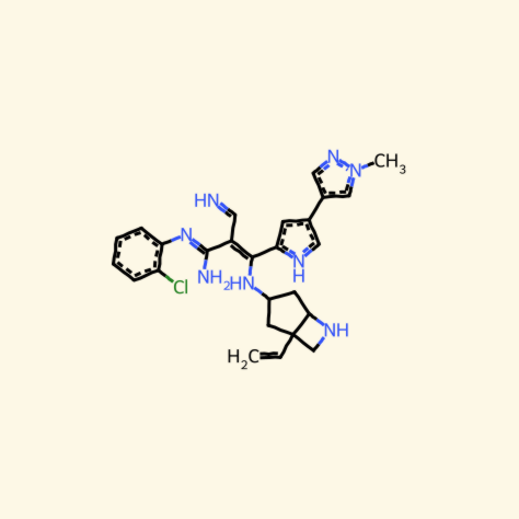 C=CC12CNC1CC(N/C(=C(C=N)\C(N)=N\c1ccccc1Cl)c1cc(-c3cnn(C)c3)c[nH]1)C2